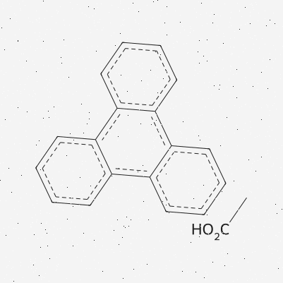 CC(=O)O.c1ccc2c(c1)c1ccccc1c1ccccc21